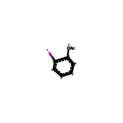 CC(=O)Oc1ccccc1I